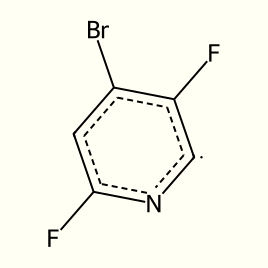 Fc1cc(Br)c(F)[c]n1